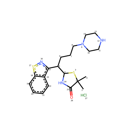 CC1(C)SC(C(CCCN2CCNCC2)c2nsc3ccccc23)NC1=O.Cl